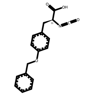 O=C=N[C@@H](Cc1ccc(OCc2ccccc2)cc1)C(=O)O